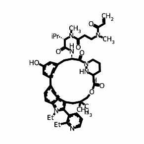 C=CC(=O)N(C)CCC(=O)N(C)[C@H](C(=O)N[C@H]1Cc2cc(O)cc(c2)-c2ccc3c(c2)c(c(-c2cccnc2CC)n3CC)CC(C)(C)COC(=O)[C@@H]2CCCN(N2)C1=O)C(C)C